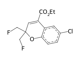 CCOC(=O)C1=CC(CF)(CF)Oc2ccc(Cl)cc21